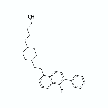 CCCCCC1CCC(CCc2cccc3c(F)c(-c4ccccc4)ccc23)CC1